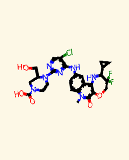 Cn1c(=O)c2c(c3cc(Nc4nc(N5CCN(C(=O)O)CC5CO)ncc4Cl)ccc31)NC(C1CC1)C(F)(F)CO2